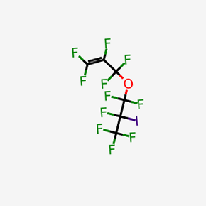 FC(F)=C(F)C(F)(F)OC(F)(F)C(F)(I)C(F)(F)F